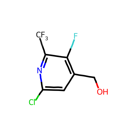 OCc1cc(Cl)nc(C(F)(F)F)c1F